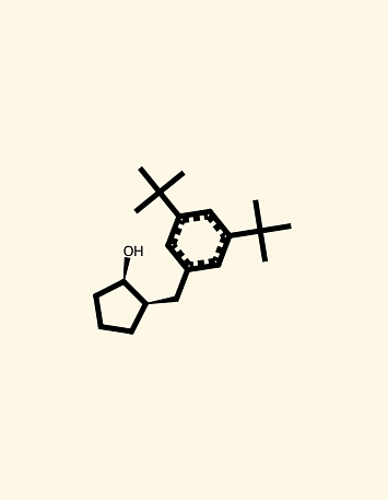 CC(C)(C)c1cc(C[C@H]2CCC[C@H]2O)cc(C(C)(C)C)c1